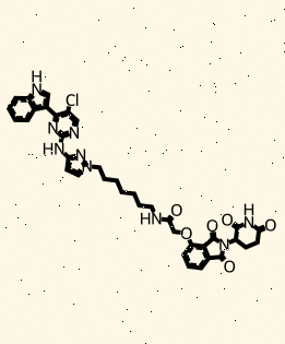 O=C(COc1cccc2c1C(=O)N(C1CCC(=O)NC1=O)C2=O)NCCCCCCCn1ccc(Nc2ncc(Cl)c(-c3c[nH]c4ccccc34)n2)n1